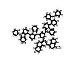 N#Cc1ccc(-c2nc(-c3cc(-n4c5ccccc5c5c(-c6cccc7c6c6ccccc6n7-c6ccccc6)cccc54)cc(-n4c5ccccc5c5c(-c6cccc7c6c6ccccc6n7-c6ccccc6)cccc54)c3)c3ccc4ccccc4c3n2)c2ccccc12